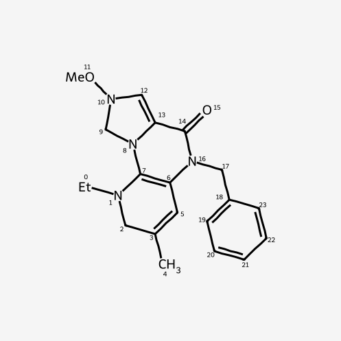 CCN1CC(C)=CC2=C1N1CN(OC)C=C1C(=O)N2Cc1ccccc1